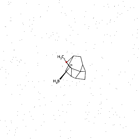 B[C@@H]1CC2(C)C3CC4C5CC6C(C3)C12C456